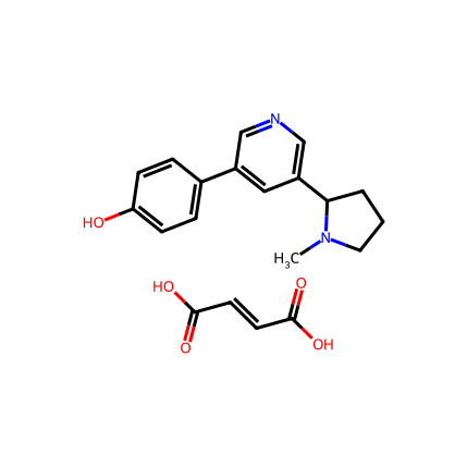 CN1CCCC1c1cncc(-c2ccc(O)cc2)c1.O=C(O)/C=C/C(=O)O